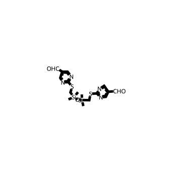 C[Si](C)(CSc1ncc(C=O)cn1)O[Si](C)(C)CSc1ncc(C=O)cn1